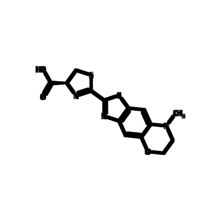 CN1CCOc2cc3nc(C4=N[C@@H](C(=O)O)CS4)sc3cc21